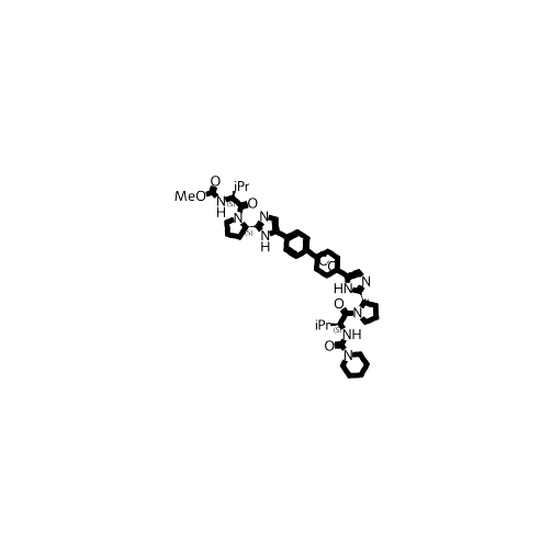 COC(=O)N[C@H](C(=O)N1CCC[C@H]1c1ncc(-c2ccc(C34CCC(c5cnc([C@@H]6CCCN6C(=O)[C@@H](NC(=O)N6CCCCC6)C(C)C)[nH]5)(CC3)CC4)cc2)[nH]1)C(C)C